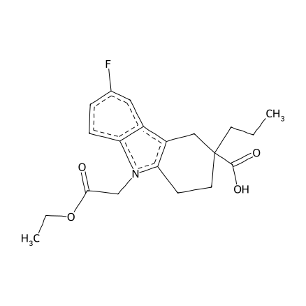 CCCC1(C(=O)O)CCc2c(c3cc(F)ccc3n2CC(=O)OCC)C1